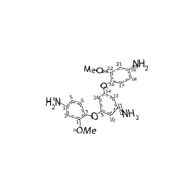 COc1cc(N)ccc1Oc1cc(N)cc(Oc2ccc(N)cc2OC)c1